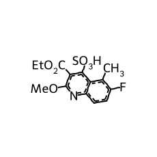 CCOC(=O)c1c(OC)nc2ccc(F)c(C)c2c1S(=O)(=O)O